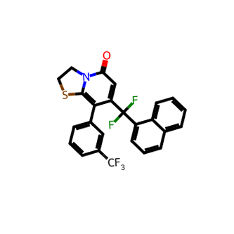 O=c1cc(C(F)(F)c2cccc3ccccc23)c(-c2cccc(C(F)(F)F)c2)c2n1CCS2